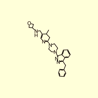 CC1CC(N2CCN(c3nnc(Cc4ccccc4)c4ccccc34)CC2)=NC=C1CNC1COC1